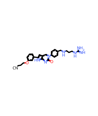 [C-]#[N+]CCCOc1cccc(-c2cc3cn(-c4ccc(CNCCCNC(=N)N)cc4)c(=O)nc3[nH]2)c1